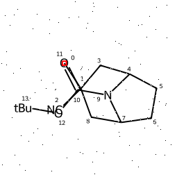 CC1(C#N)CC2CCC(C1)N2C(=O)OC(C)(C)C